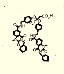 Cn1c(=O)n(Cc2ccccc2)c(=O)c2cc(C(=O)NCc3ccc(OC(CC(=O)O)(Oc4ccc(CNC(=O)c5ccc6c(c5)c(=O)n(Cc5ccccc5)c(=O)n6C)cc4)C(=O)O)cc3)ccc21